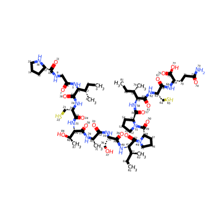 CC[C@H](C)[C@H](NC(=O)CNC(=O)[C@@H]1CCCN1)C(=O)N[C@@H](CS)C(=O)N[C@H](C(=O)N[C@@H](C)C(=O)N[C@@H](CO)C(=O)N[C@H](C(=O)N1CCC[C@H]1C(=O)N1CCC[C@H]1C(=O)N[C@H](C(=O)N[C@@H](CS)C(=O)N[C@@H](CCC(N)=O)C(=O)O)[C@@H](C)CC)[C@@H](C)CC)[C@@H](C)O